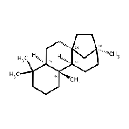 CC1(C)CCC[C@]2(C)[C@@H]1CC[C@@]13CC[C@@](C)(CC[C@H]12)C3